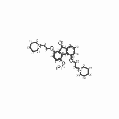 CCCOc1ccc(OCCN2CCCCC2)c2c1-c1c(OCCN3CCCCC3)cccc1C2=O